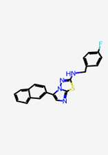 Fc1ccc(CNc2nn3c(-c4ccc5ccccc5c4)cnc3s2)cc1